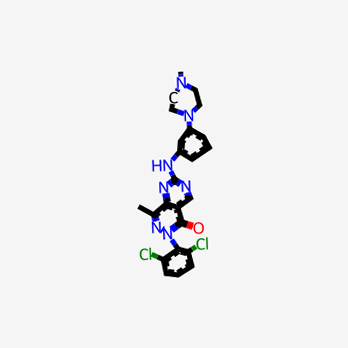 Cc1nn(-c2c(Cl)cccc2Cl)c(=O)c2cnc(Nc3cccc(N4CCN(C)CC4)c3)nc12